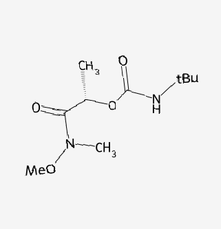 CON(C)C(=O)[C@H](C)OC(=O)NC(C)(C)C